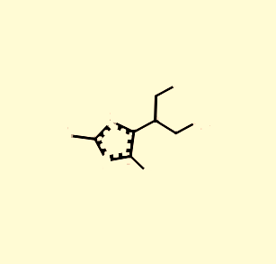 CCC(CC)c1nc(Cl)sc1Cl